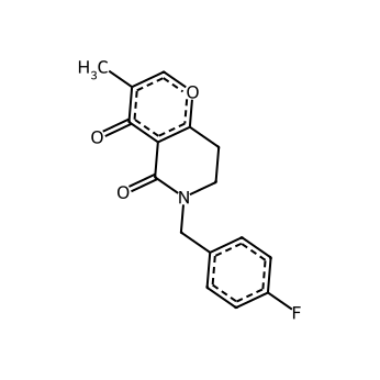 Cc1coc2c(c1=O)C(=O)N(Cc1ccc(F)cc1)CC2